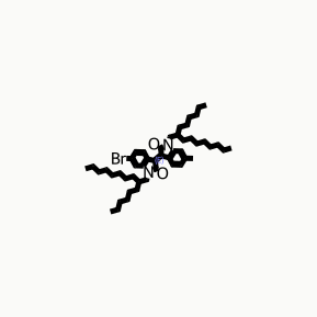 CCCCCCCCC(CCCCCC)CN1C(=O)/C(=C2/C(=O)N(CC(CCCCCC)CCCCCCCC)c3cc(Br)ccc32)c2ccc(C)cc21